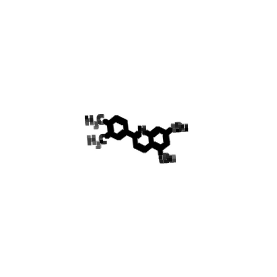 Cc1ccc(-c2ccc3c(C(C)(C)C)cc(C(C)(C)C)cc3n2)cc1C